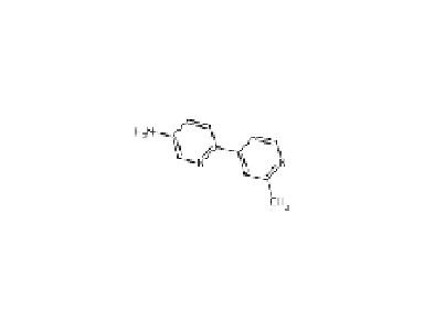 Cc1cc(-c2ccc(N)cn2)ccn1